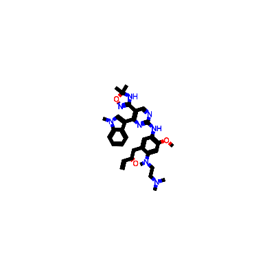 C=CC(=O)Cc1cc(Nc2ncc(C3=NOC(C)(C)N3)c(-c3cn(C)c4ccccc34)n2)c(OC)cc1N(C)CCN(C)C